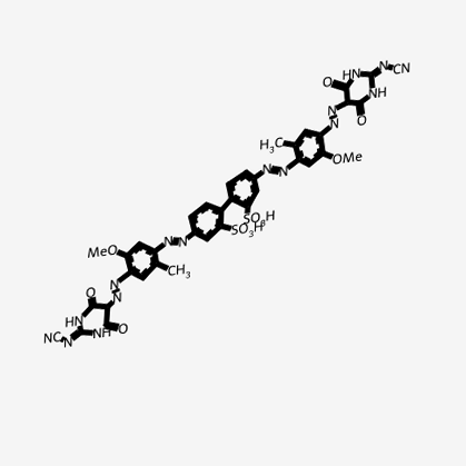 COc1cc(N=Nc2ccc(-c3ccc(N=Nc4cc(OC)c(N=NC5C(=O)NC(=NC#N)NC5=O)cc4C)cc3S(=O)(=O)O)c(S(=O)(=O)O)c2)c(C)cc1N=NC1C(=O)NC(=NC#N)NC1=O